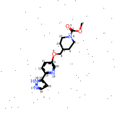 COC(=O)N1CCC(COc2ccc(-c3ccn[nH]3)nc2)CC1